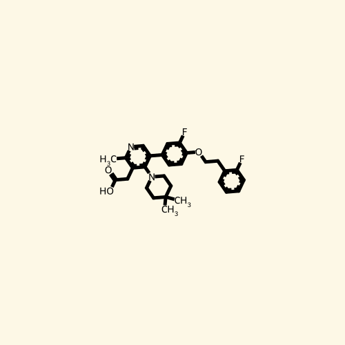 Cc1ncc(-c2ccc(OCCc3ccccc3F)c(F)c2)c(N2CCC(C)(C)CC2)c1CC(=O)O